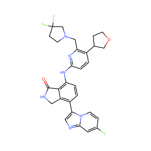 O=C1NCc2c(-c3cnc4cc(F)ccn34)ccc(Nc3ccc(C4CCOC4)c(CN4CCC(F)(F)C4)n3)c21